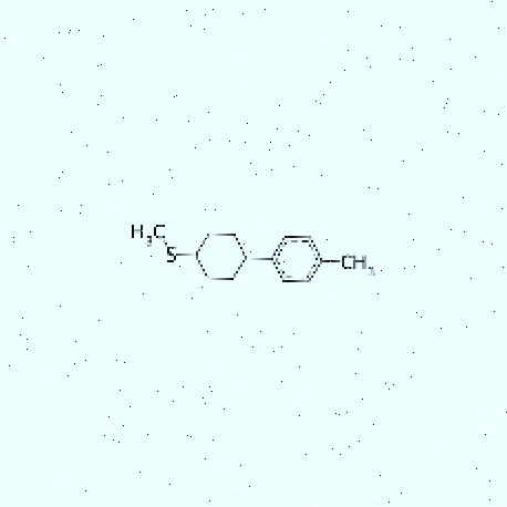 CSC1CCC(c2ccc(C)cc2)CC1